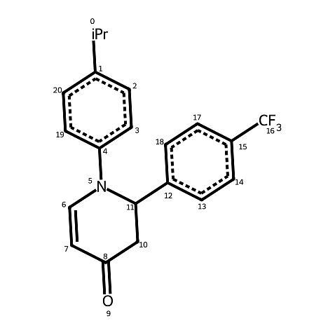 CC(C)c1ccc(N2C=CC(=O)CC2c2ccc(C(F)(F)F)cc2)cc1